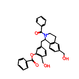 O=C(Oc1cc(CC2c3ccc(CO)cc3CCN2C(=O)c2ccccc2)ccc1CO)c1ccccc1